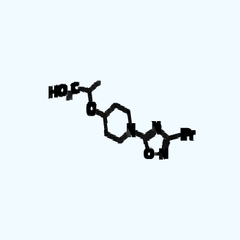 CC(OC1CCN(c2nc(C(C)C)no2)CC1)C(=O)O